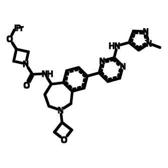 CC(C)OC1CN(C(=O)NC2CCN(C3COC3)Cc3cc(-c4ccnc(Nc5cnn(C)c5)n4)ccc32)C1